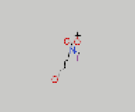 CC(C)(C)OC(=O)N(CI)CCCCCC=O